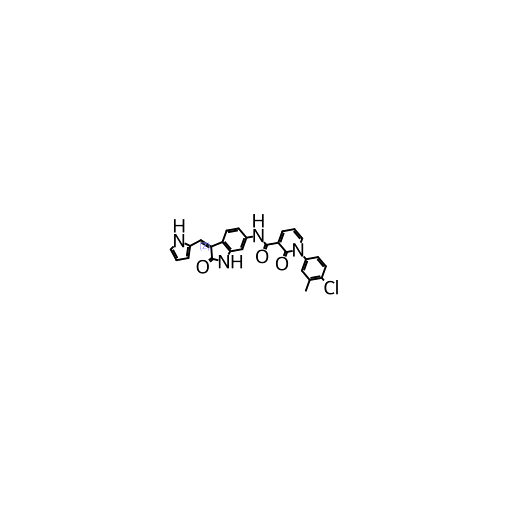 Cc1cc(-n2cccc(C(=O)Nc3ccc4c(c3)NC(=O)/C4=C\c3ccc[nH]3)c2=O)ccc1Cl